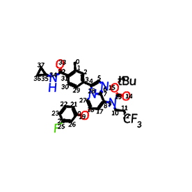 Cc1cc(-c2cnc3c(N(CCC(F)(F)F)C(=O)OC(C)(C)C)cc(Oc4cccc(F)c4)cn23)ccc1C(=O)NC1CC1